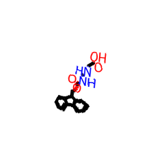 O=C(O)CNCNC(=O)OCC1c2ccccc2-c2ccccc21